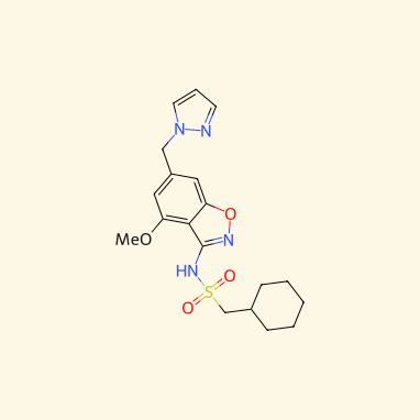 COc1cc(Cn2cccn2)cc2onc(NS(=O)(=O)CC3CCCCC3)c12